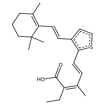 CCC(C(=O)O)=C(C)C=Cc1sccc1C=CC1=C(C)CCCC1(C)C